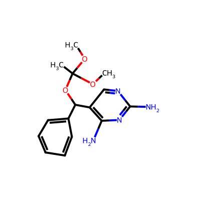 COC(C)(OC)OC(c1ccccc1)c1cnc(N)nc1N